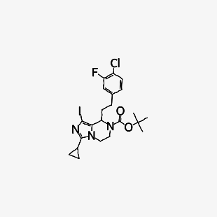 CC(C)(C)OC(=O)N1CCn2c(C3CC3)nc(I)c2C1CCc1ccc(Cl)c(F)c1